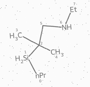 CCC[SiH2]C(C)(C)CNCC